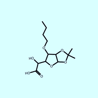 CCCCOC1C2OC(C)(C)OC2OC1C(O)C(=O)O